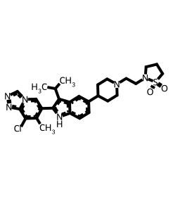 Cc1c(-c2[nH]c3ccc(C4CCN(CCN5CCCS5(=O)=O)CC4)cc3c2C(C)C)cn2cnnc2c1Cl